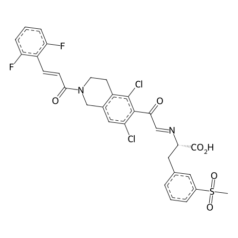 CS(=O)(=O)c1cccc(C[C@H](/N=C/C(=O)c2c(Cl)cc3c(c2Cl)CCN(C(=O)/C=C/c2c(F)cccc2F)C3)C(=O)O)c1